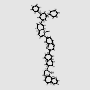 CN1C(c2ccc3ccc(-c4ccc5cc(C6C=Cc7ccc8cccnc8c7N6)ccc5c4)nc3c2)=CC=C2C=CC(c3cc(-c4ccccc4)cc(-c4ccccc4)c3)=CC21